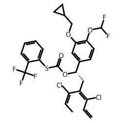 C=C/C(Cl)=C(C[C@H](OC(=O)Sc1ccccc1C(F)(F)F)c1ccc(OC(F)F)c(OCC2CC2)c1)\C(Cl)=C/C